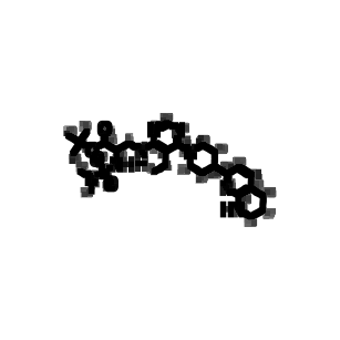 CCc1c(NCC(NS(=O)(=O)N(C)C)C(=O)OC(C)(C)C)ncnc1N1CCC(c2ccc3c(n2)NCCC3)CC1